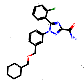 NC(=O)c1nc(-c2ccccc2F)n(-c2cccc(COCC3CCCCC3)c2)n1